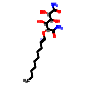 CCCCCCCC/C=C/O[C@@H](C(N)=O)[C@@H](O)[C@H](O)[C@H](O)C(N)=O